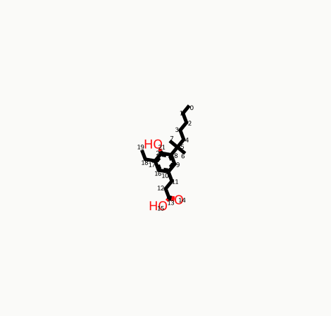 CCCCCC(C)(C)c1cc(CCC(=O)O)cc(CC)c1O